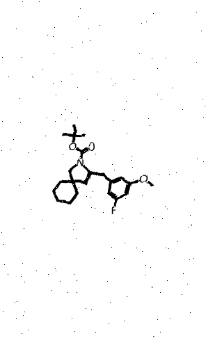 COc1cc(F)cc(CC2CC3(CCCCC3)CN2C(=O)OC(C)(C)C)c1